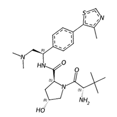 Cc1ncsc1-c1ccc([C@H](CN(C)C)NC(=O)[C@@H]2C[C@@H](O)CN2C(=O)[C@@H](N)C(C)(C)C)cc1